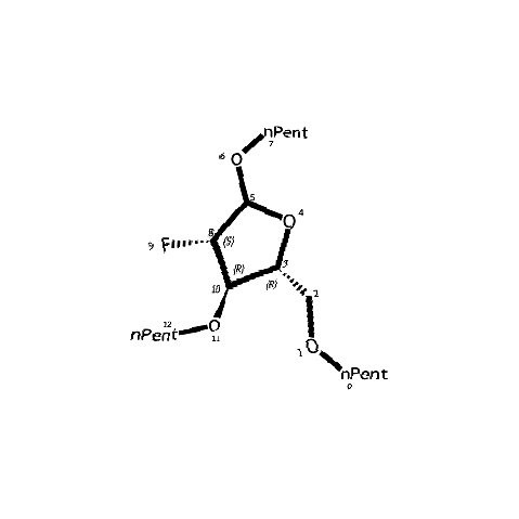 CCCCCOC[C@H]1OC(OCCCCC)[C@@H](F)[C@@H]1OCCCCC